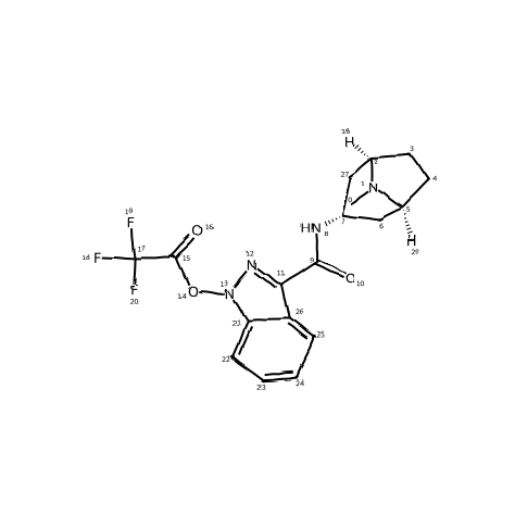 CN1[C@@H]2CC[C@H]1C[C@H](NC(=O)c1nn(OC(=O)C(F)(F)F)c3ccccc13)C2